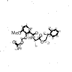 COc1ccnc(C(=O)N[C@@H](C)C(=O)O[C@@H](C)[C@@H](C)c2ccccc2C)c1OCOC(=O)C(C)C